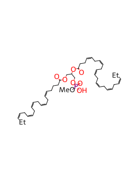 CC/C=C\C/C=C\C/C=C\C/C=C\C/C=C\C/C=C\CCC(=O)OC(COC(=O)CCC/C=C\C/C=C\C/C=C\C/C=C\C/C=C\CC)COP(=O)(O)OC